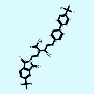 CC(C)(C)c1ccc2c(c1)C(=O)N(CCC(C(=O)O)C(O)CCc1ccc(-c3ccc(C(F)(F)F)cc3)cc1)C2=O